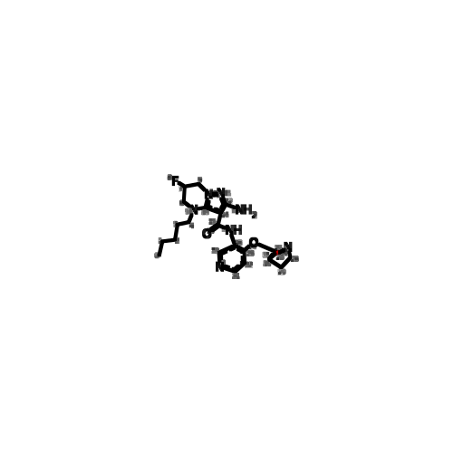 CCCCCN1CC(F)Cn2nc(N)c(C(=O)Nc3cnccc3OC3CN4CCC3CC4)c21